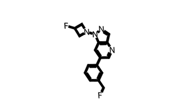 FCc1cccc(-c2cnc3cnn(N4CC(F)C4)c3c2)c1